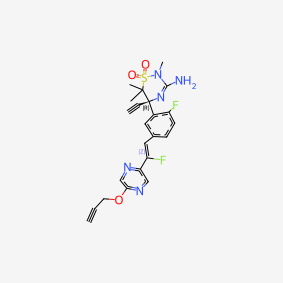 C#CCOc1cnc(/C(F)=C/c2ccc(F)c([C@@]3(C#C)N=C(N)N(C)S(=O)(=O)C3(C)C)c2)cn1